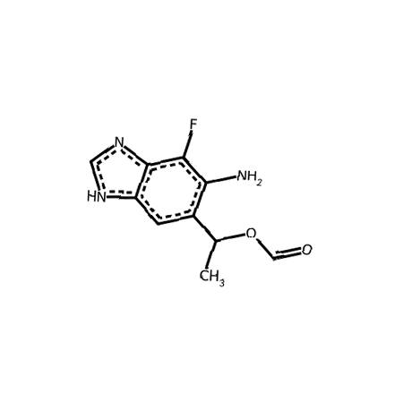 CC(OC=O)c1cc2[nH]cnc2c(F)c1N